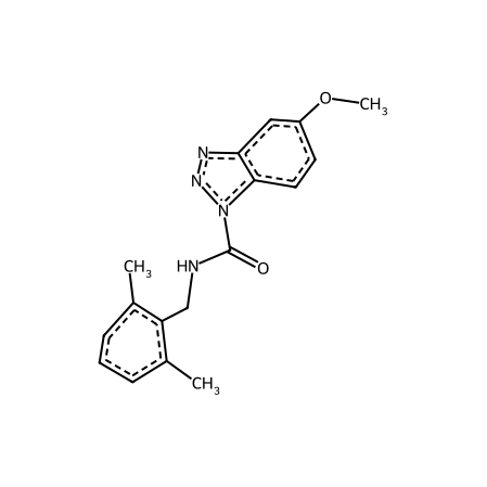 COc1ccc2c(c1)nnn2C(=O)NCc1c(C)cccc1C